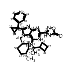 C[C@@H](Nc1nc(-c2noc(=O)[nH]2)nc2nc(C3(c4ccncc4)CC3)n(C[C@H]3CC[C@H](C)CC3)c12)C1CCC1